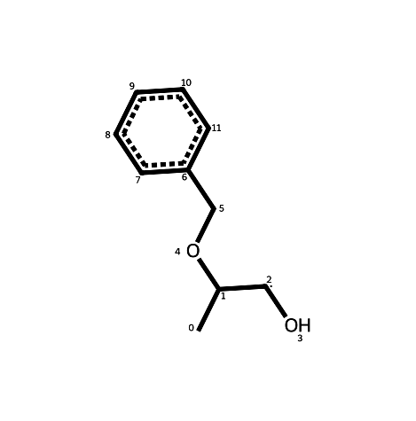 CC([CH]O)OCc1ccccc1